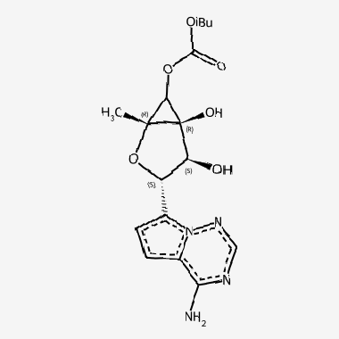 CC(C)COC(=O)OC1[C@@]2(C)O[C@@H](c3ccc4c(N)ncnn34)[C@H](O)[C@@]12O